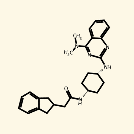 CN(C)c1nc(N[C@H]2CC[C@@H](NC(=O)CC3Cc4ccccc4C3)CC2)nc2ccccc12